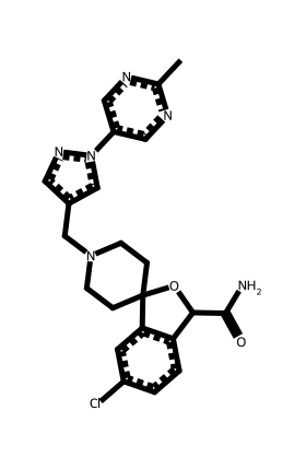 Cc1ncc(-n2cc(CN3CCC4(CC3)OC(C(N)=O)c3ccc(Cl)cc34)cn2)cn1